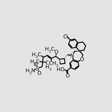 CO[C@H](/C(C)=C/C(C)C(C)(C)CS(N)(=O)=O)[C@@H]1CC[C@H]1CN1C[C@@]2(CCCc3cc(Cl)ccc32)COc2ccc(C(=O)O)cc21